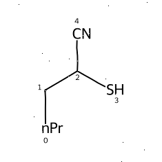 CCCCC(S)C#N